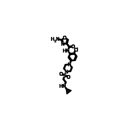 Nc1nc(C(=O)Nc2cc(N3CCN(S(=O)(=O)CCNC4CC4)CC3)ccc2Cl)co1